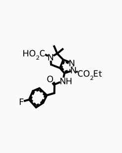 CCOC(=O)n1nc2c(c1NC(=O)Cc1ccc(F)cc1)CN(C(=O)O)C2(C)C